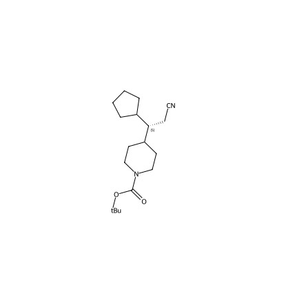 CC(C)(C)OC(=O)N1CCC([C@@H](CC#N)C2CCCC2)CC1